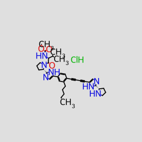 CCCCCc1cc(-c2cnc([C@@H]3CCCN3C(=O)[C@@H](NC(=O)OC)C(C)C)[nH]2)ccc1C#CC#Cc1cnc([C@@H]2CCCN2)[nH]1.Cl